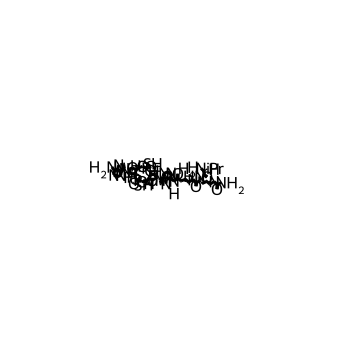 CC(C)[C@H](N)C(=O)N[C@@H](CCCNC(N)=O)C(=O)NCCCC(=O)Nc1ncnc2c1ncn2[C@@H]1O[C@@H]2CO[P@@](=O)(S)O[C@H]3[C@@H](F)[C@H](n4cnc5c(N)ncnc54)O[C@@H]3CO[P@@](=O)(S)O[C@H]2[C@H]1F